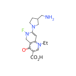 CCn1cc(C(=O)O)c(=O)c2c1C=C(N1CCC(CN)C1)N(F)C2